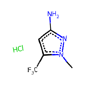 Cl.Cn1nc(N)cc1C(F)(F)F